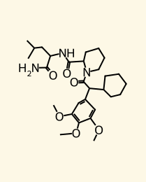 COc1cc(C(C(=O)N2CCCCC2C(=O)NC(CC(C)C)C(N)=O)C2CCCCC2)cc(OC)c1OC